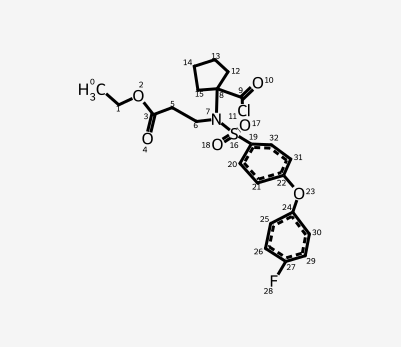 CCOC(=O)CCN(C1(C(=O)Cl)CCCC1)S(=O)(=O)c1ccc(Oc2ccc(F)cc2)cc1